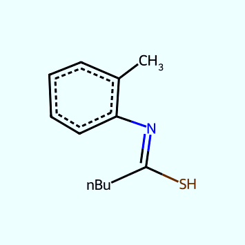 CCCC/C(S)=N\c1ccccc1C